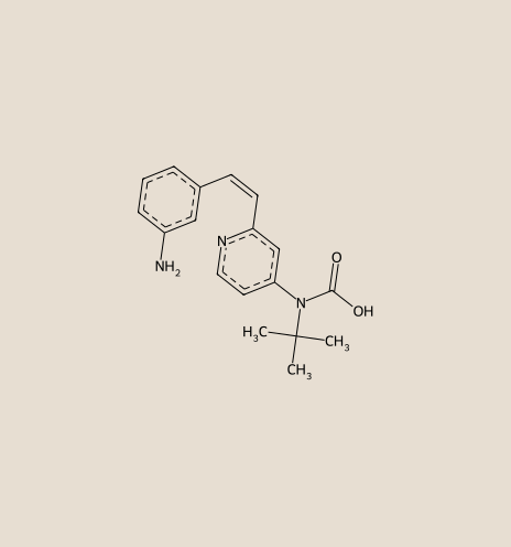 CC(C)(C)N(C(=O)O)c1ccnc(/C=C\c2cccc(N)c2)c1